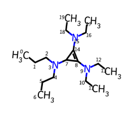 CCCN(CCC)C1C(N(CC)CC)=C1N(CC)CC